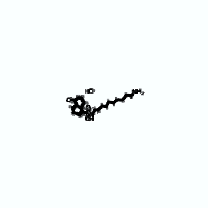 Cl.NCCCCCCCCCCNS(=O)(=O)c1cccc2c(Cl)cccc12